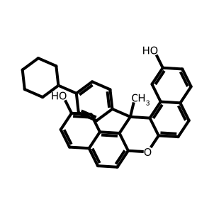 CC1(c2ccc(C3CCCCC3)cc2)c2c(ccc3ccc(O)cc23)Oc2ccc3ccc(O)cc3c21